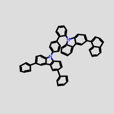 c1ccc(-c2ccc3c(c2)c2cc(-c4ccccc4)ccc2n3-c2ccc(-c3ccccc3-n3c4ccccc4c4cc(-c5cccc6ccccc56)ccc43)cc2)cc1